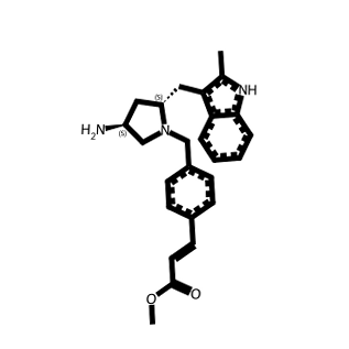 COC(=O)C=Cc1ccc(CN2C[C@@H](N)C[C@@H]2Cc2c(C)[nH]c3ccccc23)cc1